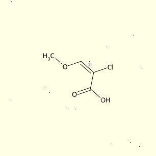 CO/C=C(/Cl)C(=O)O